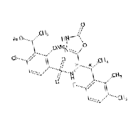 COc1c(S(=O)(=O)N[C@H](c2n[nH]c(=O)o2)[C@H](C)c2c(F)ccc(C)c2C)ccc(Cl)c1C(C)OC(C)=O